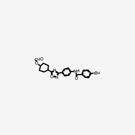 CC(C)(C)c1ccc(C(=O)Nc2ccc(-c3noc(C4CCC(OC=O)CC4)n3)cc2)cc1